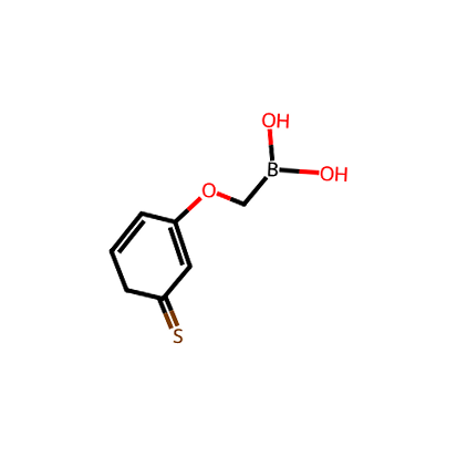 OB(O)COC1=CC(=S)CC=C1